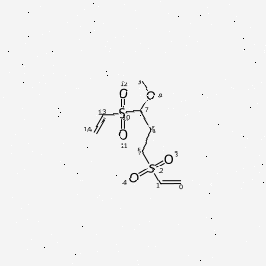 C=CS(=O)(=O)CCC(OC)S(=O)(=O)C=C